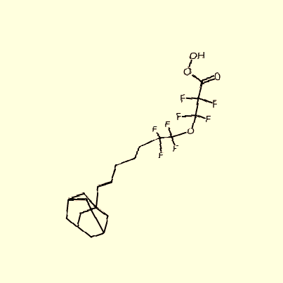 O=C(OO)C(F)(F)C(F)(F)OC(F)(F)C(F)(F)CCCCCC12CC3CC(CC(C3)C1)C2